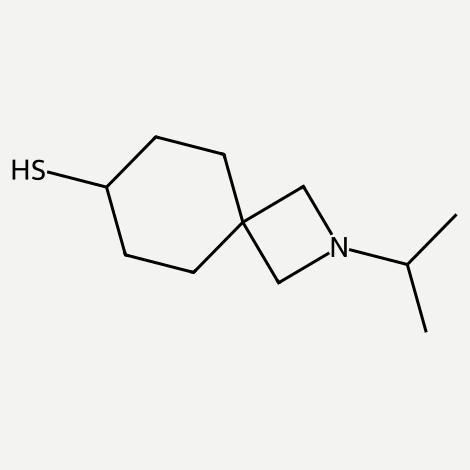 CC(C)N1CC2(CCC(S)CC2)C1